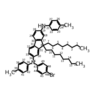 CCCCCCCCC1(CCCCCCCC)c2cc(Nc3ccc(C)cc3)ccc2-c2ccc(N(c3ccc(C)cc3)c3ccc(Br)cc3)cc21